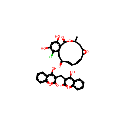 CC1CC2OC2/C=C\C=C\C(=O)Cc2c(Cl)c(O)cc(O)c2C(=O)O1.O=c1oc2ccccc2c(O)c1Cc1c(O)c2ccccc2oc1=O